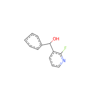 OC(c1ccccc1)c1cccnc1F